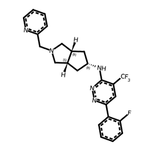 Fc1ccccc1-c1cc(C(F)(F)F)c(N[C@@H]2C[C@@H]3CN(Cc4ccccn4)C[C@@H]3C2)nn1